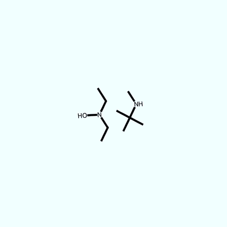 CCN(O)CC.CNC(C)(C)C